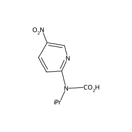 CC(C)N(C(=O)O)c1ccc([N+](=O)[O-])cn1